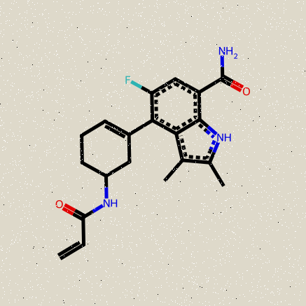 C=CC(=O)NC1CCC=C(c2c(F)cc(C(N)=O)c3[nH]c(C)c(C)c23)C1